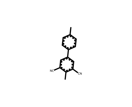 Cc1ccc(-c2cc(C#N)c(C)c(C#N)c2)cc1